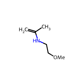 C=C(C)NCCOC